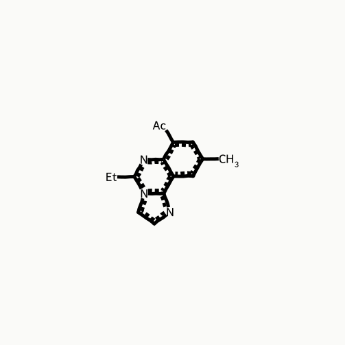 CCc1nc2c(C(C)=O)cc(C)cc2c2nccn12